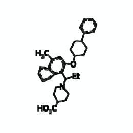 CCC(c1c(OC2CCC(c3ccccc3)CC2)cc(C)c2ccccc12)N1CCC(C(=O)O)CC1